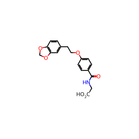 O=C(O)CNC(=O)c1ccc(OCCc2ccc3c(c2)OCO3)cc1